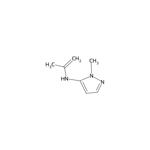 C=C(C)Nc1ccnn1C